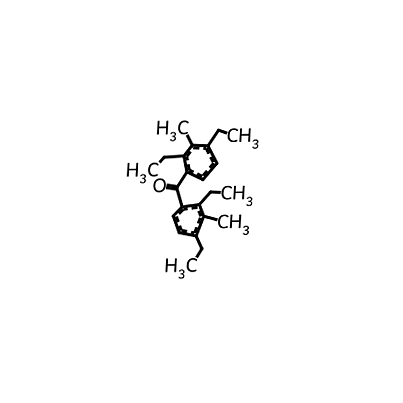 CCc1ccc(C(=O)c2ccc(CC)c(C)c2CC)c(CC)c1C